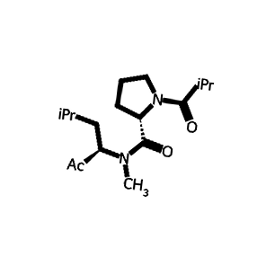 CC(=O)[C@@H](CC(C)C)N(C)C(=O)[C@@H]1CCCN1C(=O)C(C)C